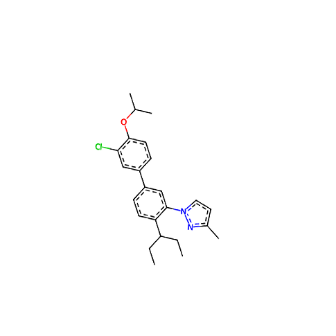 CCC(CC)c1ccc(-c2ccc(OC(C)C)c(Cl)c2)cc1-n1ccc(C)n1